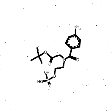 CC(C)(C)OC(=O)CN(CCOP(=O)(O)O)C(=O)c1ccc(N)cc1